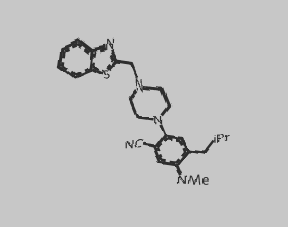 CNc1cc(C#N)c(N2CCN(Cc3nc4ccccc4s3)CC2)cc1CC(C)C